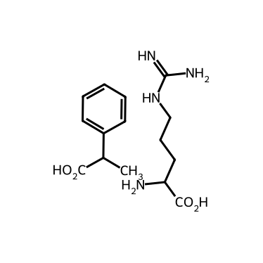 CC(C(=O)O)c1ccccc1.N=C(N)NCCCC(N)C(=O)O